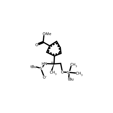 COC(=O)c1cccc([C@](C)(CO[Si](C)(C)C(C)(C)C)N[S+]([O-])C(C)(C)C)c1